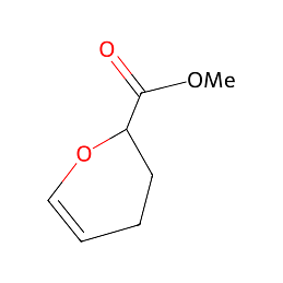 [CH2]OC(=O)C1CCC=CO1